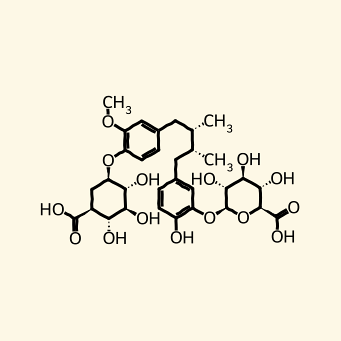 COc1cc(C[C@H](C)[C@H](C)Cc2ccc(O)c(O[C@@H]3O[C@H](C(=O)O)[C@@H](O)[C@H](O)[C@H]3O)c2)ccc1O[C@@H]1C[C@H](C(=O)O)[C@@H](O)[C@H](O)[C@H]1O